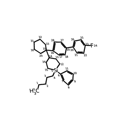 CCCCC[Si]1(c2ccccc2)CCC(C2(c3ccc(-c4ccc(F)cc4)cc3)CCCCC2)CC1